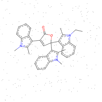 CCn1c(C)c(C2(c3c(C)n(C)c4ccccc34)C=C(c3c(C)n(C)c4ccccc34)C(=O)O2)c2ccccc21